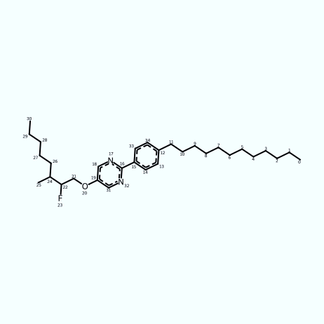 CCCCCCCCCCCCc1ccc(-c2ncc(OCC(F)C(C)CCCCC)cn2)cc1